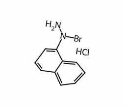 Cl.NN(Br)c1cccc2ccccc12